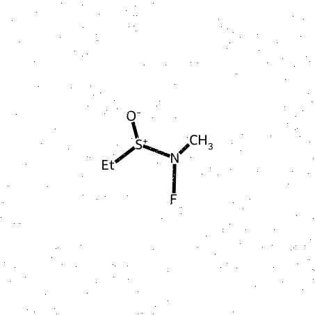 CC[S+]([O-])N(C)F